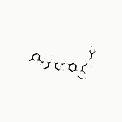 Cc1cccc(-c2nccc(Nc3ccnc(Nc4ccc(N5CCNCC5CC(=O)OCC5CNC5)cc4)n3)n2)n1